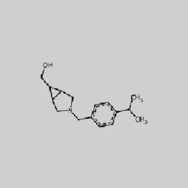 CC(C)c1ccc(CN2CC3C(CO)C3C2)cc1